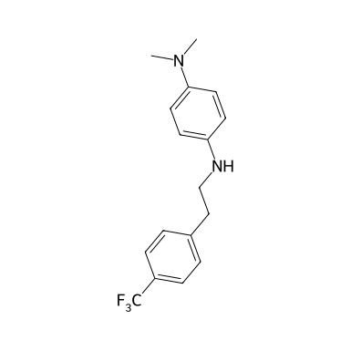 CN(C)c1ccc(NCCc2ccc(C(F)(F)F)cc2)cc1